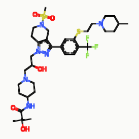 CC1CCN(CCSc2cc(-c3nn(C[C@@H](O)CN4CCC(NC(=O)C(C)(C)O)CC4)c4c3CN(S(C)(=O)=O)CC4)ccc2C(F)(F)F)CC1